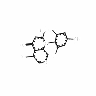 Cc1cc(=O)c2c(Br)cncc2n1-c1c(Cl)cc(C#N)cc1Cl